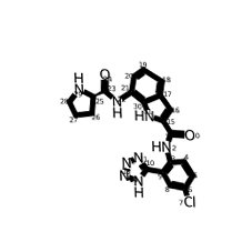 O=C(Nc1ccc(Cl)cc1-c1nnn[nH]1)c1cc2cccc(NC(=O)[C@H]3CCCN3)c2[nH]1